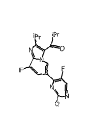 CC(C)C(=O)c1c(C(C)C)nc2c(F)cc(-c3nc(Cl)ncc3F)cn12